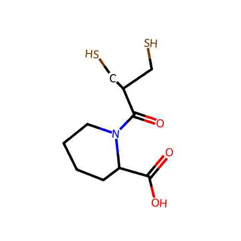 O=C(O)C1CCCCN1C(=O)C(CS)CS